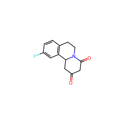 O=C1CC(=O)N2CCc3ccc(F)cc3C2C1